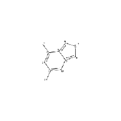 Cc1cc(C)c2cscc2c1